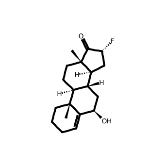 C[C@]12CCCC=C1[C@H](O)C[C@@H]1[C@@H]2CC[C@]2(C)C(=O)[C@H](F)C[C@@H]12